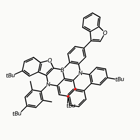 Cc1cc(C(C)(C)C)cc(C)c1N1c2cc(C(C)(C)C)cc3c2B(c2ccc(-c4coc5ccccc45)cc2N3c2ccc(C(C)(C)C)cc2-c2ccccc2)c2oc3ccc(C(C)(C)C)cc3c21